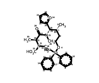 C[C@H](CCO[Si](c1ccccc1)(c1ccccc1)C(C)(C)C)[C@@H](c1ccco1)N(C)C(=O)[C@H](C)N(C)C(=O)O